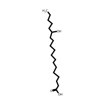 CCCCCC(O)CCCCCCCCCCCCC(=O)O